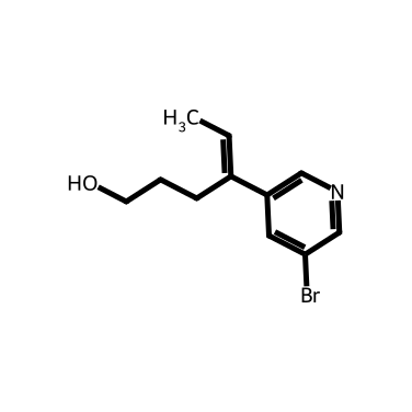 C/C=C(\CCCO)c1cncc(Br)c1